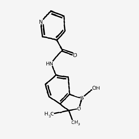 CC1(C)OB(O)c2cc(NC(=O)c3cccnc3)ccc21